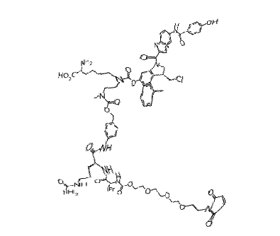 Cc1cccc2c(OC(=O)N(CCCC[C@H](N)C(=O)O)CCN(C)C(=O)OCc3ccc(NC(=O)[C@H](CCCNC(N)=O)NC(=O)[C@@H](NC(=O)OCCOCCOCCOCCN4C(=O)C=CC4=O)C(C)C)cc3)cc3c(c12)[C@H](CCl)CN3C(=O)c1cn2cc(NC(=O)c3ccc(O)cc3)ccc2n1